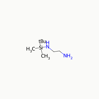 CC(C)(C)[Si](C)(C)NCCN